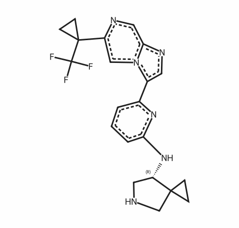 FC(F)(F)C1(c2cn3c(-c4cccc(N[C@H]5CNCC56CC6)n4)cnc3cn2)CC1